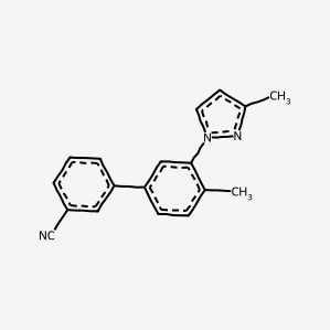 Cc1ccn(-c2cc(-c3cccc(C#N)c3)ccc2C)n1